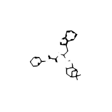 CC1(C)C2CC3OB(C(Cc4coc5ccccc45)NC(=O)C(=O)NC4CC5CCC4O5)O[C@@]3(C)C1C2